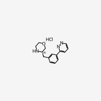 Cl.c1cc(C[C@@H]2COCCN2)cc(-c2cccnn2)c1